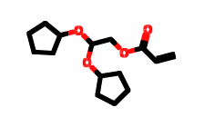 C=CC(=O)OCC(OC1CCCC1)OC1CCCC1